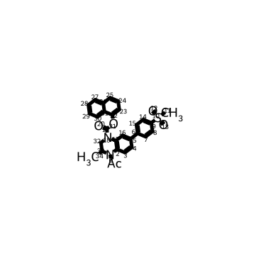 CC(=O)N1c2ccc(-c3ccc(S(C)(=O)=O)cc3)cc2N(C(=O)Oc2cccc3ccccc23)CC1C